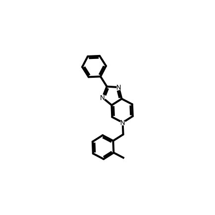 Cc1ccccc1Cn1ccc2nc(-c3ccccc3)nc-2c1